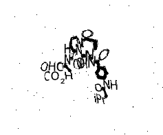 CC(C)CC(=O)Nc1ccc(C(=O)NN2CCC(=O)N3CCC[C@@H](C(=O)N[C@H](C=O)CC(=O)O)N3C2=O)cc1